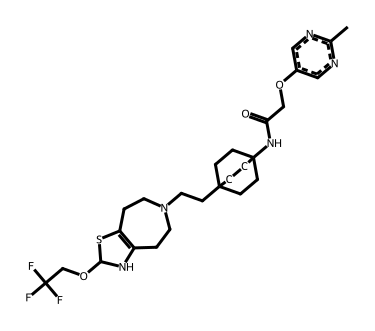 Cc1ncc(OCC(=O)NC23CCC(CCN4CCC5=C(CC4)SC(OCC(F)(F)F)N5)(CC2)CC3)cn1